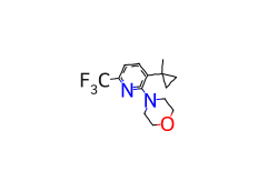 CC1(c2ccc(C(F)(F)F)nc2N2CCOCC2)CC1